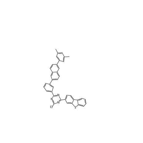 Cc1cc(C)cc(-c2ccc3cc(-c4cccc(-c5nc(Cl)nc(-c6ccc7c(c6)sc6ccccc67)n5)c4)ccc3c2)c1